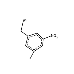 Cc1cc(CC(C)C)cc([N+](=O)[O-])c1